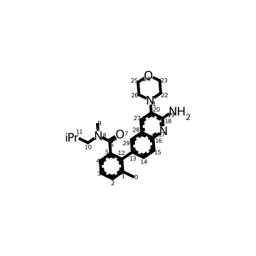 Cc1cccc(C(=O)N(C)CC(C)C)c1-c1ccc2nc(N)c(N3CCOCC3)cc2c1